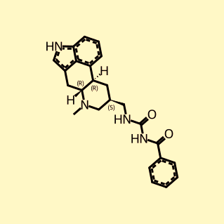 CN1C[C@H](CNC(=O)NC(=O)c2ccccc2)C[C@@H]2c3cccc4[nH]cc(c34)C[C@H]21